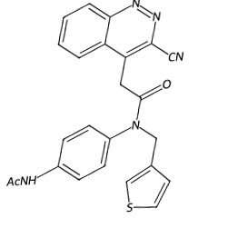 CC(=O)Nc1ccc(N(Cc2ccsc2)C(=O)Cc2c(C#N)nnc3ccccc23)cc1